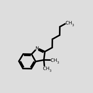 CCCCCC1=Nc2ccccc2C1(C)C